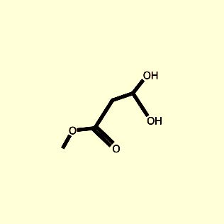 COC(=O)CC(O)O